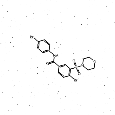 O=C(Nc1ccc(Br)cc1)c1ccc(Br)c(S(=O)(=O)N2CCOCC2)c1